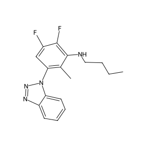 CCCCNc1c(C)c(-n2nnc3ccccc32)cc(F)c1F